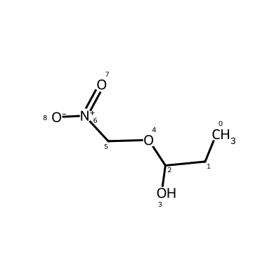 CCC(O)OC[N+](=O)[O-]